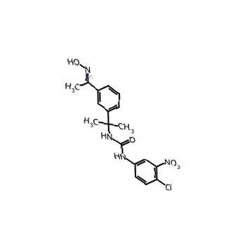 C/C(=N\O)c1cccc(C(C)(C)NC(=O)Nc2ccc(Cl)c([N+](=O)[O-])c2)c1